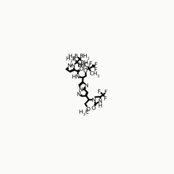 BC(B)(B)C(B)(B)n1nccc1C(=O)NC(COC(C)(C)C(F)(F)F)c1cn2ncc(C(COC)N3CC(C(F)(F)F)NC3=O)cc2n1